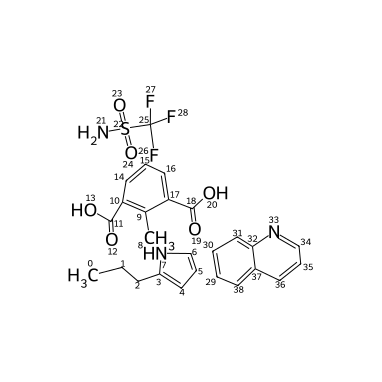 CCCc1ccc[nH]1.Cc1c(C(=O)O)cccc1C(=O)O.NS(=O)(=O)C(F)(F)F.c1ccc2ncccc2c1